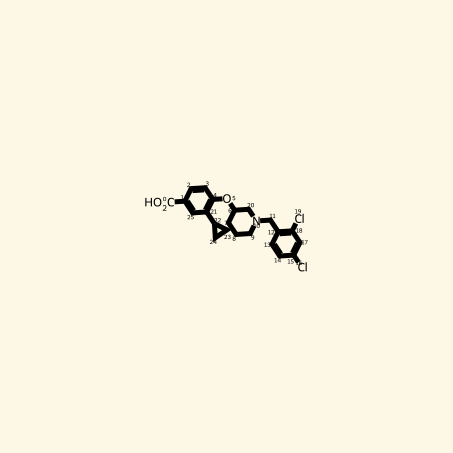 O=C(O)c1ccc(OC2CCCN(Cc3ccc(Cl)cc3Cl)C2)c(C2CC2)c1